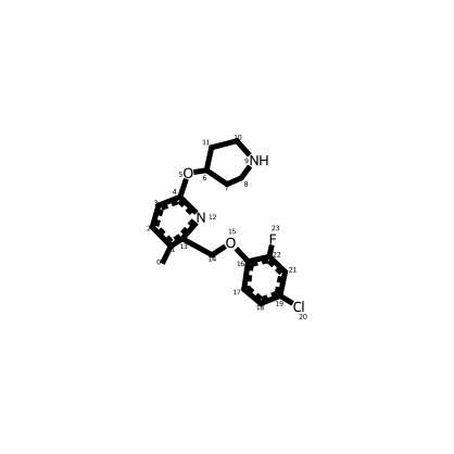 Cc1ccc(OC2CCNCC2)nc1COc1ccc(Cl)cc1F